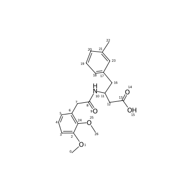 COc1cccc(CC(=O)NC(CC(=O)O)Cc2cccc(C)c2)c1OC